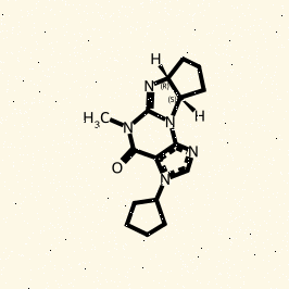 CN1C(=O)c2c(ncn2C2CCCC2)N2C1=N[C@@H]1CCC[C@@H]12